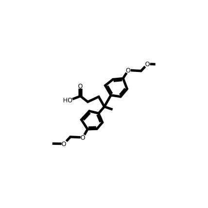 COCOc1ccc(C(C)(CCC(=O)O)c2ccc(OCOC)cc2)cc1